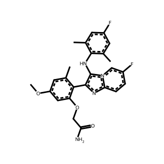 COc1cc(C)c(-c2nc3ccc(F)cn3c2Nc2c(C)cc(F)cc2C)c(OCC(N)=O)c1